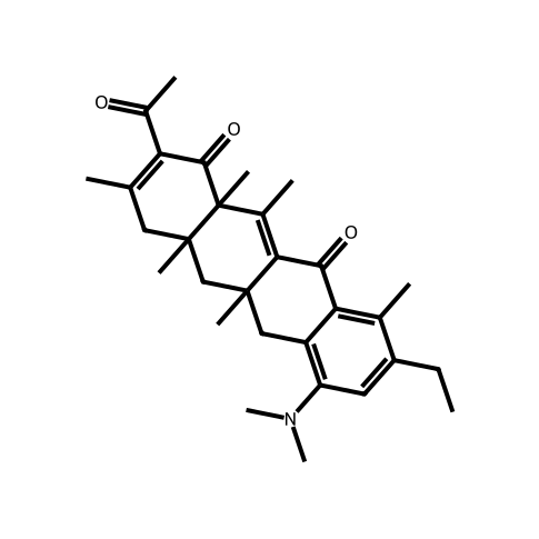 CCc1cc(N(C)C)c2c(c1C)C(=O)C1=C(C)C3(C)C(=O)C(C(C)=O)=C(C)CC3(C)CC1(C)C2